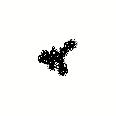 Cc1cc2c3c(c1)N(c1cccc4c1OCCO4)c1ccc(C(C)(C)C)cc1B3c1cc(-c3cc4ccccc4o3)ccc1N2c1ccc(-c2cc3ccccc3o2)cc1